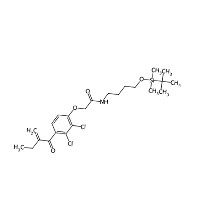 C=C(CC)C(=O)c1ccc(OCC(=O)NCCCCO[Si](C)(C)C(C)(C)C)c(Cl)c1Cl